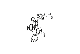 Cc1csc(NC(=O)c2cncc(-c3cnccc3C)n2)n1